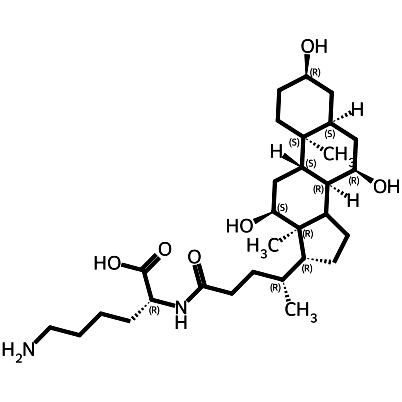 C[C@H](CCC(=O)N[C@H](CCCCN)C(=O)O)[C@H]1CCC2[C@@H]3[C@H](O)C[C@@H]4C[C@H](O)CC[C@]4(C)[C@H]3C[C@H](O)[C@@]21C